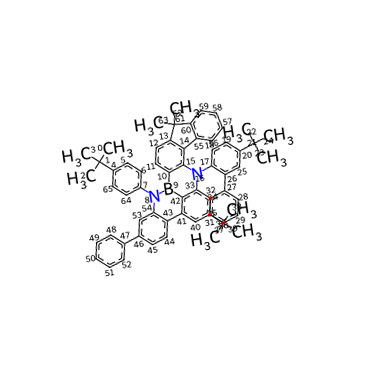 CC(C)(C)c1ccc(N2B3c4ccc5c(c4N(c4ccc(C(C)(C)C)cc4-c4ccccc4)c4cc(C(C)(C)C)cc(c43)-c3ccc(-c4ccccc4)cc32)-c2ccccc2C5(C)C)cc1